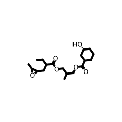 CCC(CC1OC1C)C(=O)OCC(C)COC(=O)C1CCC[C@@H](O)C1